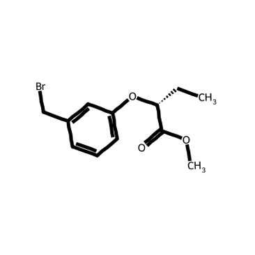 CC[C@@H](Oc1cccc(CBr)c1)C(=O)OC